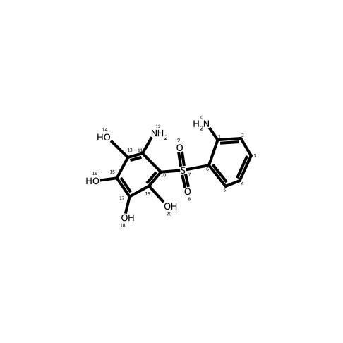 Nc1ccccc1S(=O)(=O)c1c(N)c(O)c(O)c(O)c1O